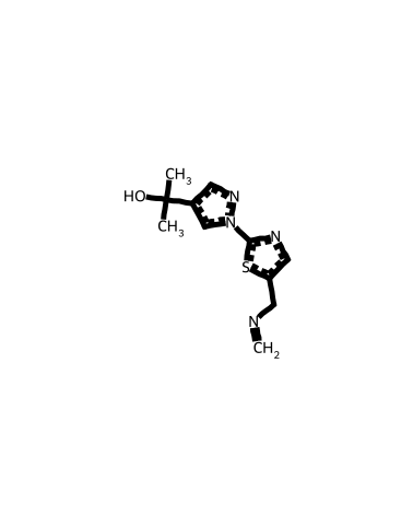 C=NCc1cnc(-n2cc(C(C)(C)O)cn2)s1